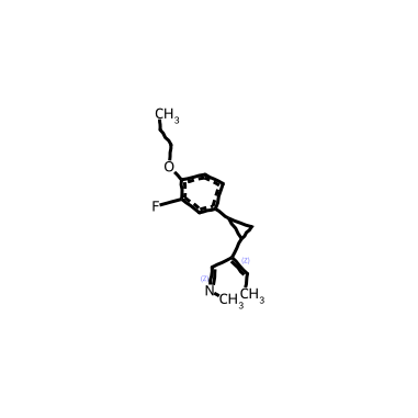 C/C=C(\C=N/C)C1CC1c1ccc(OCCC)c(F)c1